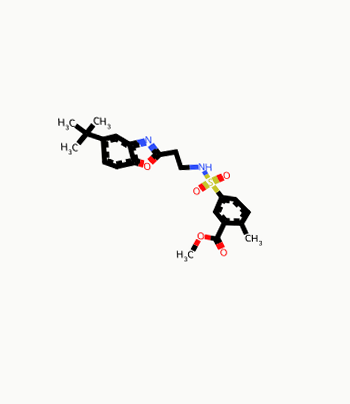 COC(=O)c1cc(S(=O)(=O)NCCc2nc3cc(C(C)(C)C)ccc3o2)ccc1C